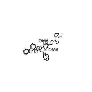 CCC1(Cl)C(c2ccccc2)=CC=CC1(COc1nc(OC)c(COC(=O)[C@@H]2CCCN2)c(OC)n1)OCCCN1CCOCC1